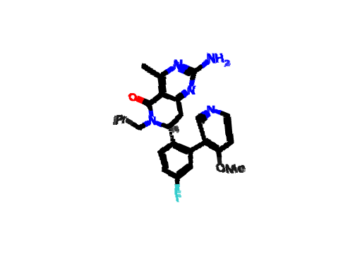 COc1ccncc1-c1cc(F)ccc1[C@H]1Cc2nc(N)nc(C)c2C(=O)N1CC(C)C